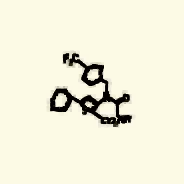 CC(C)CC(=O)N(Cc1ccc(C(F)(F)F)cc1)c1cc(-c2ccccc2)sc1C(=O)O